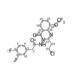 O=C(Cc1ccc(F)c(F)c1)Nn1c(CCCl)nc2c(OC(F)(F)F)cccc2c1=O